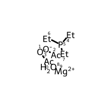 CC(=O)[O-].CC(=O)[O-].CCP(CC)CC.O.[Mg+2]